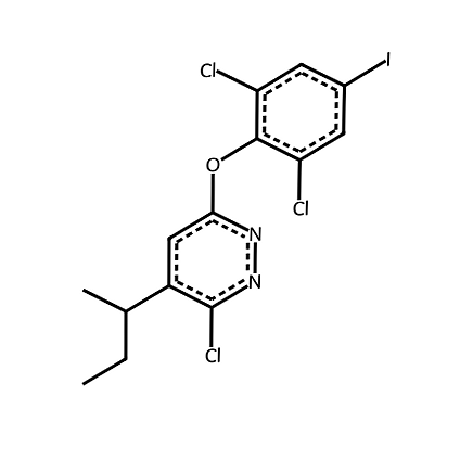 CCC(C)c1cc(Oc2c(Cl)cc(I)cc2Cl)nnc1Cl